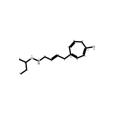 CCC(C)OBC/C=C/CC1=CC=C(Cl)CC=C1